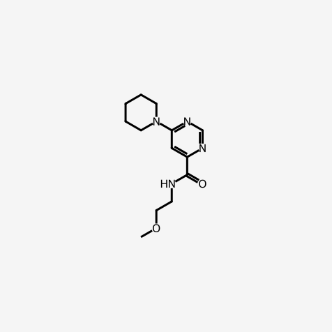 COCCNC(=O)c1cc(N2CCCCC2)ncn1